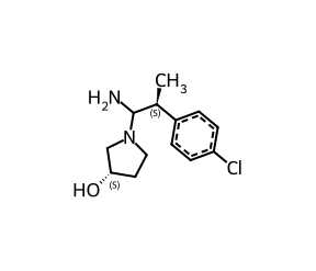 C[C@@H](c1ccc(Cl)cc1)C(N)N1CC[C@H](O)C1